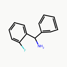 NC(c1ccccc1)c1ccccc1F